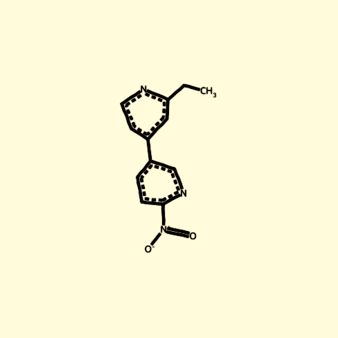 CCc1cc(-c2ccc([N+](=O)[O-])nc2)ccn1